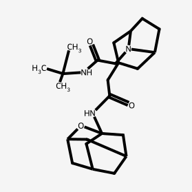 CC(C)(C)NC(=O)CN1C2CCC1CC(CC(=O)NC13CC4CC(CC(C4)O1)C3)C2